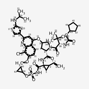 C=CC1C[C@]1(NC(=O)[C@@H]1CC(Oc2cc(-c3csc(NC(C)C)n3)nc3c(Cl)c(OC)ccc23)CN1C(=O)[C@@H](NC(=O)OC1CCCC1)C(C)(C)C)C(=O)NS(=O)(=O)OC1CC1